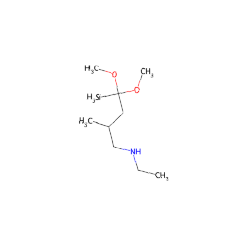 CCNCC(C)CC([SiH3])(OC)OC